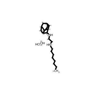 CCCCCCCCNCCNC1C2CC3CC(C2)CC1C3.Cl.Cl